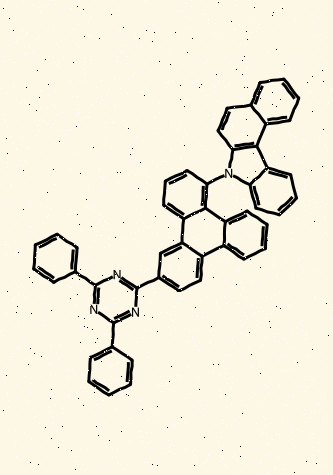 c1ccc(-c2nc(-c3ccccc3)nc(-c3ccc4c5ccccc5c5c(-n6c7ccccc7c7c8ccccc8ccc76)cccc5c4c3)n2)cc1